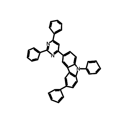 c1ccc(-c2ccc3c(c2)c2cc(-c4cc(-c5ccccc5)nc(-c5ccccc5)n4)ccc2n3-c2ccccc2)cc1